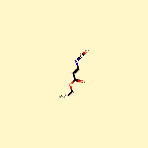 CCCCCCOC(=O)/C=C/N=C=O